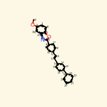 COc1ccc2oc(-c3ccc(C=Cc4ccc(-c5ccccc5)cc4)cc3)nc2c1